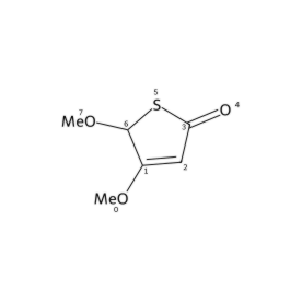 COC1=CC(=O)SC1OC